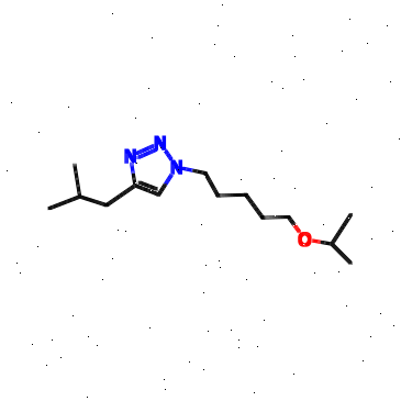 CC(C)Cc1cn(CCCCCOC(C)C)nn1